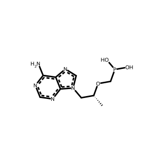 C[C@H](Cn1cnc2c(N)ncnc21)OCP(O)O